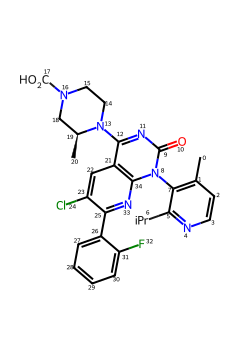 Cc1ccnc(C(C)C)c1-n1c(=O)nc(N2CCN(C(=O)O)C[C@@H]2C)c2cc(Cl)c(-c3ccccc3F)nc21